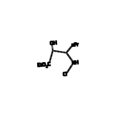 CCCC(NCl)C(O)C(=O)OCC